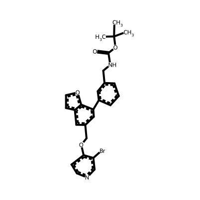 CC(C)(C)OC(=O)NCc1cccc(-c2cc(COc3ccncc3Br)cc3ccoc23)c1